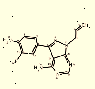 C=CCn1nc(-c2ccc(N)c(F)c2)c2c(N)ncnc21